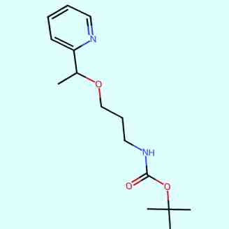 CC(OCCCNC(=O)OC(C)(C)C)c1ccccn1